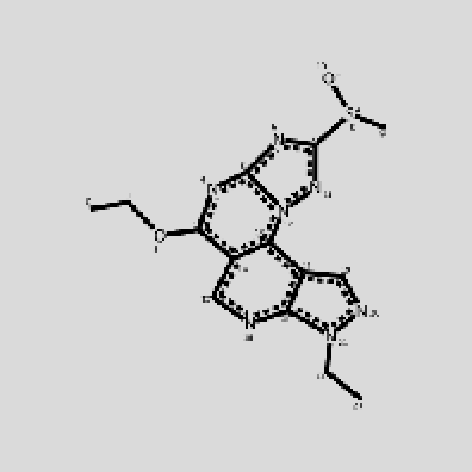 CCOc1nc2nc([S+](C)[O-])nn2c2c1cnc1c2cnn1CC